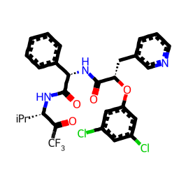 CC(C)[C@H](NC(=O)[C@@H](NC(=O)[C@H](Cc1cccnc1)Oc1cc(Cl)cc(Cl)c1)c1ccccc1)C(=O)C(F)(F)F